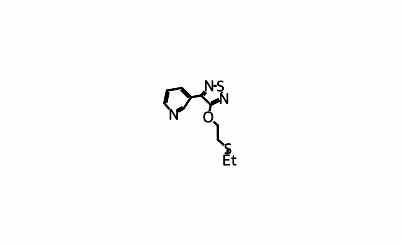 CCSCCOc1nsnc1-c1cccnc1